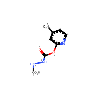 O=C(O)NNC(=O)Oc1cc([N+](=O)[O-])ccn1